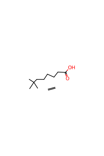 C=C.CC(C)(C)CCCCCC(=O)O